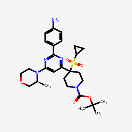 C[C@H]1COCCN1c1cc(C2(S(=O)(=O)C3CC3)CCN(C(=O)OC(C)(C)C)CC2)nc(-c2ccc(N)cc2)n1